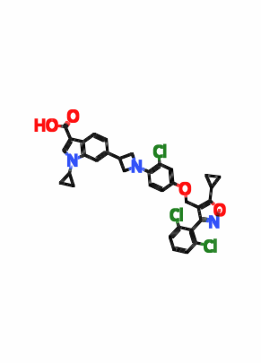 O=C(O)c1cn(C2CC2)c2cc(C3CN(c4ccc(OCc5c(-c6c(Cl)cccc6Cl)noc5C5CC5)cc4Cl)C3)ccc12